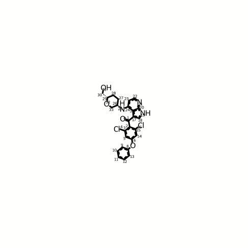 O=C(c1c(Cl)cc(Oc2ccccc2)cc1Cl)c1c[nH]c2nccc(N[C@@H]3CC[C@@H](CO)OC3)c12